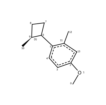 COc1ccc(C2CC[C@@H]2C)c(C)c1